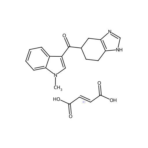 Cn1cc(C(=O)C2CCc3[nH]cnc3C2)c2ccccc21.O=C(O)/C=C/C(=O)O